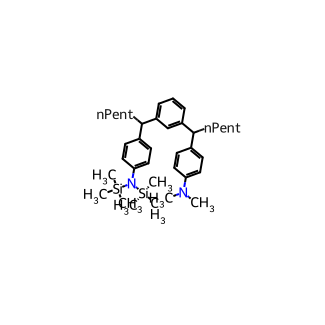 CCCCCC(c1ccc(N(C)C)cc1)c1cccc(C(CCCCC)c2ccc(N([Si](C)(C)C)[Si](C)(C)C)cc2)c1